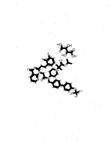 CC(C)OC(=O)C(C)(C)N1CCC(N(Cc2ccc(-c3ccc(OC(F)(F)F)cc3)cc2)C(=O)Cn2c(CCc3cccc(F)c3F)nc(=O)c3cccnc32)CC1.O=C(O)C(O)C(O)C(=O)O